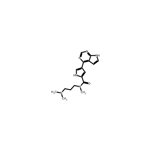 CN(C)CCCN(C)C(=O)c1cc(-c2ncnc3[nH]ccc23)c[nH]1